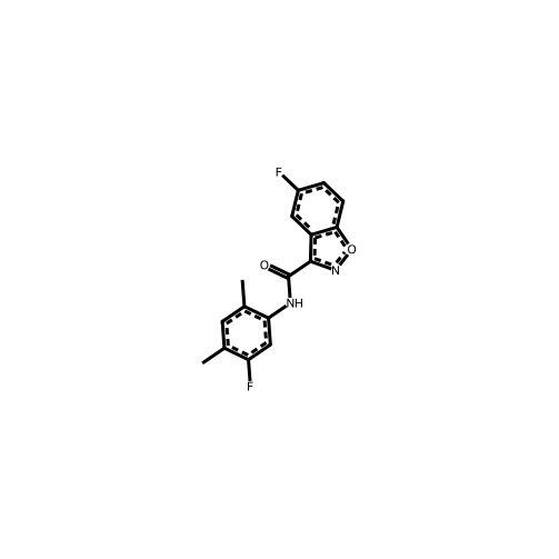 Cc1cc(C)c(NC(=O)c2noc3ccc(F)cc23)cc1F